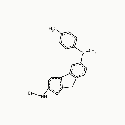 CCNc1ccc2c(c1)Cc1ccc(N(C)c3ccc(C)cc3)cc1-2